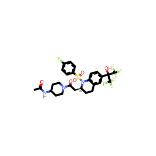 CC(=O)NC1CCN(C(=O)C[C@@H]2CCc3cc(C(O)(C(F)(F)F)C(F)(F)F)ccc3N2S(=O)(=O)c2ccc(F)cc2)CC1